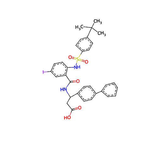 CC(C)(C)c1ccc(S(=O)(=O)Nc2ccc(I)cc2C(=O)NC(CC(=O)O)c2ccc(-c3ccccc3)cc2)cc1